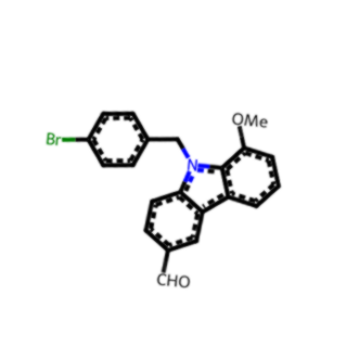 COc1cccc2c3cc(C=O)ccc3n(Cc3ccc(Br)cc3)c12